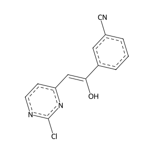 N#Cc1cccc(C(O)=Cc2ccnc(Cl)n2)c1